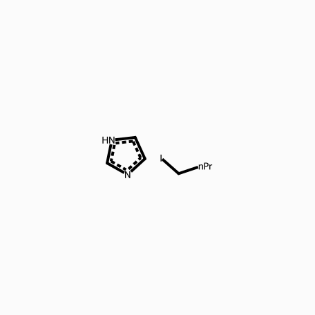 CCCCI.c1c[nH]cn1